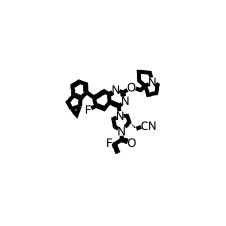 C=C(F)C(=O)N1CCN(c2nc(OCC34CCCN3CCC4)nc3cc(-c4cccc5c4C4CC4C5)c(F)cc23)C[C@@H]1CC#N